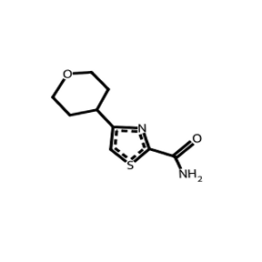 NC(=O)c1nc(C2CCOCC2)cs1